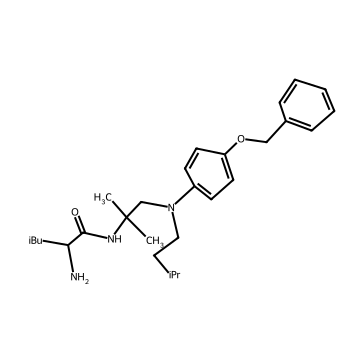 CCC(C)C(N)C(=O)NC(C)(C)CN(CCC(C)C)c1ccc(OCc2ccccc2)cc1